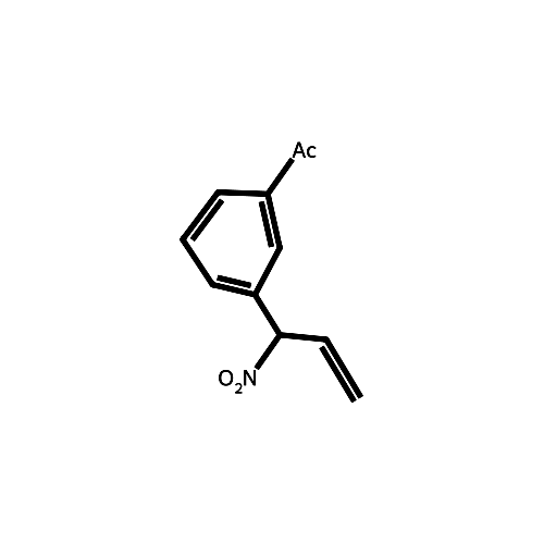 C=CC(c1cccc(C(C)=O)c1)[N+](=O)[O-]